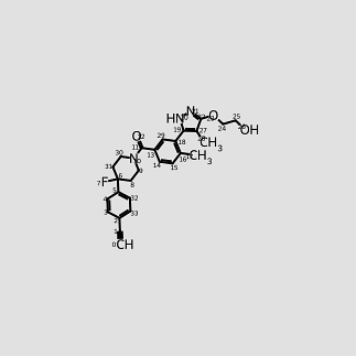 C#Cc1ccc(C2(F)CCN(C(=O)c3ccc(C)c(-c4[nH]nc(OCCO)c4C)c3)CC2)cc1